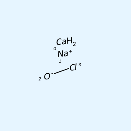 [CaH2].[Na+].[O-]Cl